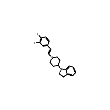 Fc1ccc(C=CN2CCC(N3CCc4ccccc43)CC2)cc1F